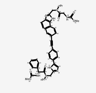 CCCN(Cc1nc2ccc3cc(C#Cc4ccc(-c5cnc(CN(CCC)C(=O)[C@H](NC(=O)OC)c6ccccc6)[nH]5)cc4)ccc3c2[nH]1)C(=O)CNC(=O)OC